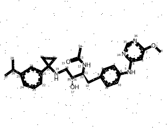 COc1cc(Nc2ccc(C[C@H](NC(C)=O)[C@H](O)CNC3(c4cccc(C(C)C)c4)CC3)cc2)ncn1